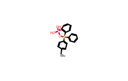 CC(C)(C)c1ccc(S(OP(=O)(O)O)(c2ccccc2)c2ccccc2)cc1